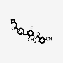 Cc1c(CN2CCN(C(=O)CC3CCC3)CC2)cc(F)cc1NC(=O)c1cccc(C#N)c1